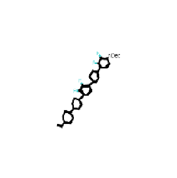 C=CC1CCC(C2CCC(c3ccc(C4=CC=C(c5ccc(CCCCCCCCCC)c(F)c5F)CC4)c(F)c3F)CC2)CC1